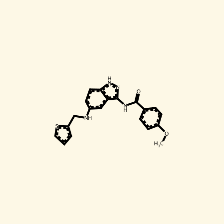 COc1ccc(C(=O)Nc2n[nH]c3ccc(NCc4cccs4)cc23)cc1